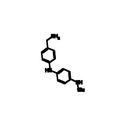 CC(C)(C)Nc1ccc(Nc2ccc(CN)cc2)cc1